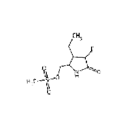 CCC1C(COS(C)(=O)=O)NC(=O)C1F